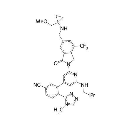 COCC1(NCc2cc3c(c(C(F)(F)F)c2)CN(c2cc(-c4cc(C#N)ccc4-c4nncn4C)cc(NCC(C)C)n2)C3=O)CC1